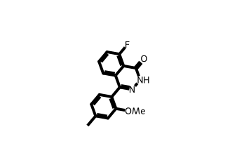 COc1cc(C)ccc1-c1n[nH]c(=O)c2c(F)cccc12